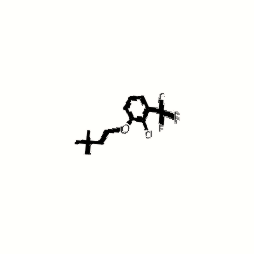 CC(C)(C)CCOc1cccc(C(F)(F)F)c1Cl